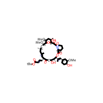 CO[C@H]1C[C@@H](C)C/C(C)=C/[C@@H](C/C=C/C(=O)OC(C)(C)C)C(=O)C[C@H](O)[C@@H](C)[C@@H](/C(C)=C/[C@@H]2CC[C@@H](O)[C@H](OC)C2)OC(=O)[C@@H]2CCCCN2C(=O)C(=O)[C@]2(O)O[C@H]1[C@@H](OC)C[C@H]2C